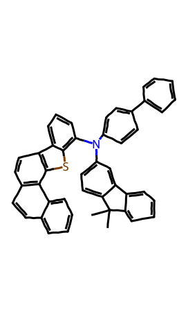 CC1(C)c2ccccc2-c2cc(N(c3ccc(-c4ccccc4)cc3)c3cccc4c3sc3c4ccc4ccc5ccccc5c43)ccc21